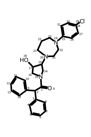 O=C(C(c1ccccc1)c1ccccc1)N1CC(O)C(N2CCCN(c3ccc(Cl)cc3)CC2)C1